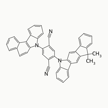 CC1(C)c2ccccc2-c2cc3c(cc21)c1ccccc1n3-c1cc(C#N)c(-n2c3ccccc3c3c4ccccc4ccc32)cc1C#N